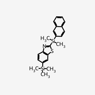 C[Si](C)(C)c1ccc2nc([Si](C)(C)c3ccc4ccccc4c3)sc2c1